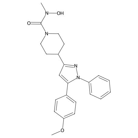 COc1ccc(-c2cc(C3CCN(C(=O)N(C)O)CC3)nn2-c2ccccc2)cc1